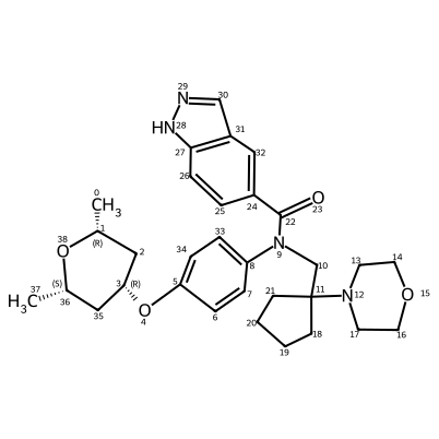 C[C@@H]1C[C@H](Oc2ccc(N(CC3(N4CCOCC4)CCCC3)C(=O)c3ccc4[nH]ncc4c3)cc2)C[C@H](C)O1